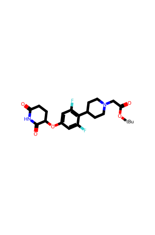 CC(C)(C)OC(=O)CN1CCC(c2c(F)cc(OC3CCC(=O)NC3=O)cc2F)CC1